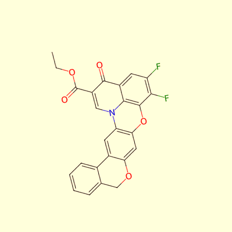 CCOC(=O)c1cn2c3c(c(F)c(F)cc3c1=O)Oc1cc3c(cc1-2)-c1ccccc1CO3